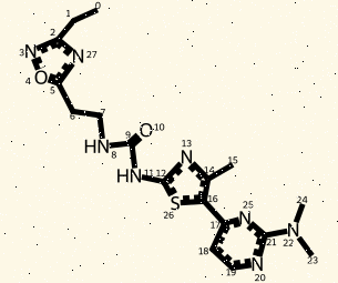 CCc1noc(CCNC(=O)Nc2nc(C)c(-c3ccnc(N(C)C)n3)s2)n1